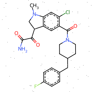 CN1CC(C(=O)C(N)=O)c2cc(C(=O)N3CCC(Cc4ccc(F)cc4)CC3)c(Cl)cc21